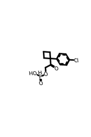 O=C(CO[PH](=O)O)C1(c2ccc(Cl)cc2)CCC1